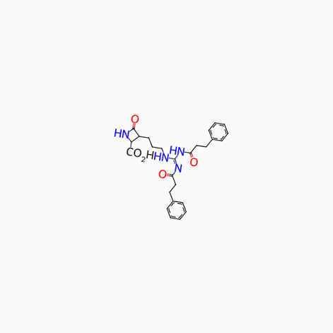 O=C(CCc1ccccc1)/N=C(\NCCCC1C(=O)NC1C(=O)O)NC(=O)CCc1ccccc1